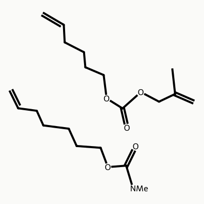 C=CCCCCCOC(=O)NC.C=CCCCCOC(=O)OCC(=C)C